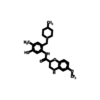 Cc1cc(CN2CCC(C)CC2)c(NC(=O)C2CNc3cc(OC(F)(F)F)ccc3O2)cc1O